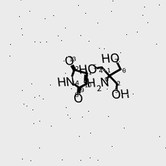 NC(CO)(CO)CO.O=C1C=CC(=O)N1